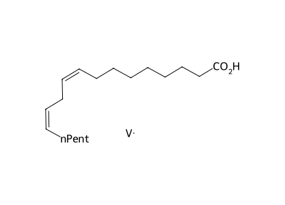 CCCCC/C=C\C/C=C\CCCCCCCC(=O)O.[V]